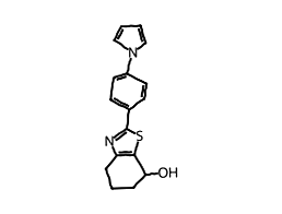 OC1CCCc2nc(-c3ccc(-n4cccc4)cc3)sc21